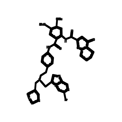 COc1cc(NC(=O)c2cc(=O)c3ccccc3o2)c(C(=O)Nc2ccc(CCN(Cc3cccnc3)Cc3cnc4cnc(Br)cn34)cc2)cc1OC